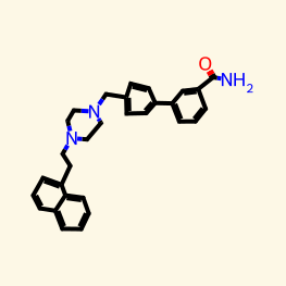 NC(=O)c1cccc(-c2ccc(CN3CCN(CCc4cccc5ccccc45)CC3)cc2)c1